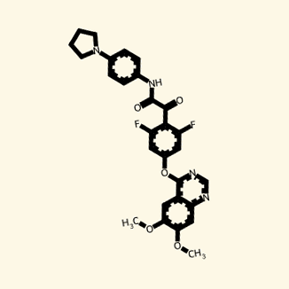 COc1cc2ncnc(Oc3cc(F)c(C(=O)C(=O)Nc4ccc(N5CCCC5)cc4)c(F)c3)c2cc1OC